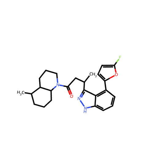 CC(CC(=O)N1CCCC2C(C)CCCC21)c1n[nH]c2cccc(-c3ccc(F)o3)c12